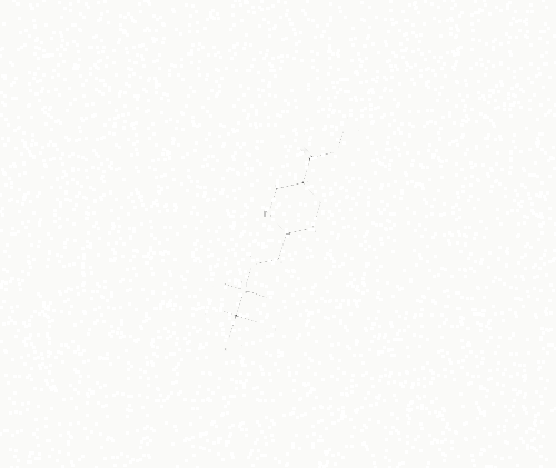 COC(=O)C1CCC(CO[Si](C)(C)C(C)(C)C)NC1